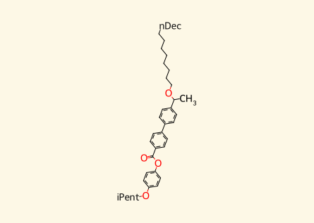 CCCCCCCCCCCCCCCCCCOC(C)c1ccc(-c2ccc(C(=O)Oc3ccc(OC(C)CCC)cc3)cc2)cc1